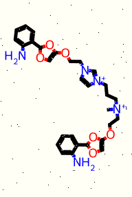 C[N+](C)(CCC[n+]1ccn(CCOC2=COC(c3ccccc3N)O2)c1)CCOC1=COC(c2ccccc2N)O1